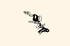 COc1ccc(C(=O)NCC(=O)N/N=C/c2csc3ccccc23)c(OC)c1